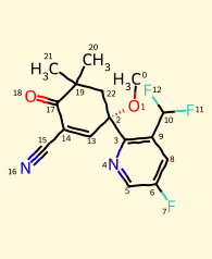 CO[C@]1(c2ncc(F)cc2C(F)F)C=C(C#N)C(=O)C(C)(C)C1